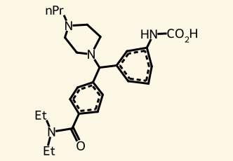 CCCN1CCN(C(c2ccc(C(=O)N(CC)CC)cc2)c2cccc(NC(=O)O)c2)CC1